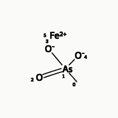 C[As](=O)([O-])[O-].[Fe+2]